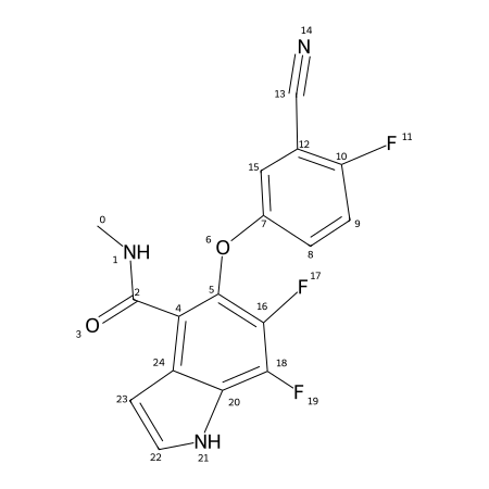 CNC(=O)c1c(Oc2ccc(F)c(C#N)c2)c(F)c(F)c2[nH]ccc12